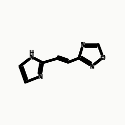 C(=Cc1ncc[nH]1)c1ncon1